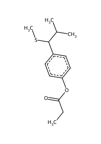 CCC(=O)Oc1ccc(C(SC)C(C)C)cc1